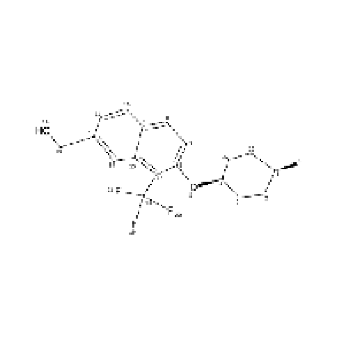 C[C@H]1CC[C@@H](Oc2ccc3ccc(CO)cc3c2C(F)(F)F)CC1